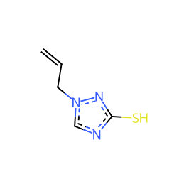 C=CCn1cnc(S)n1